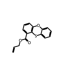 C=CCOC(=O)c1cccc2c1Sc1ccccc1O2